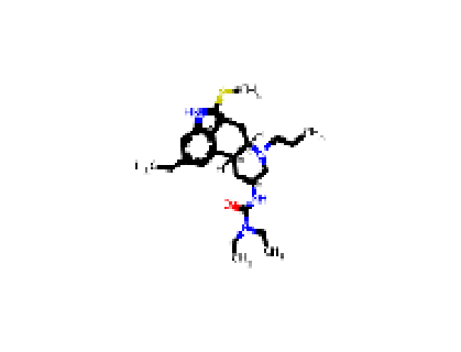 CCCN1C[C@@H](NC(=O)N(CC)CC)C[C@@H]2c3cc(CC)cc4[nH]c(SC)c(c34)C[C@H]21